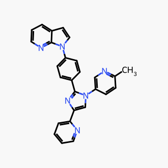 Cc1ccc(-n2cc(-c3ccccn3)nc2-c2ccc(-n3ccc4cccnc43)cc2)cn1